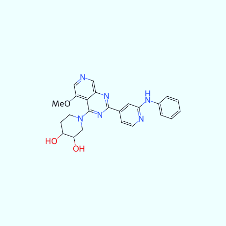 COc1cncc2nc(-c3ccnc(Nc4ccccc4)c3)nc(N3CCC(O)C(O)C3)c12